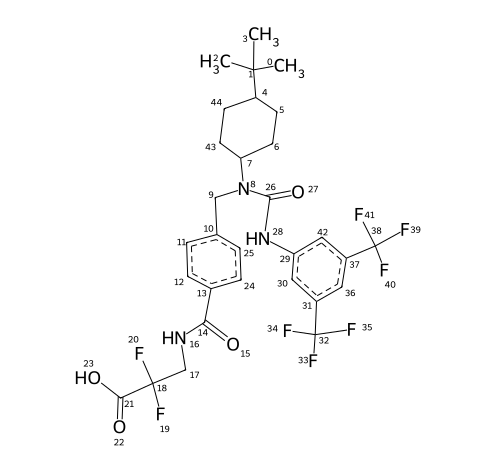 CC(C)(C)C1CCC(N(Cc2ccc(C(=O)NCC(F)(F)C(=O)O)cc2)C(=O)Nc2cc(C(F)(F)F)cc(C(F)(F)F)c2)CC1